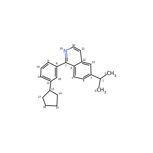 CC(C)c1ccc2c(-c3cccc(C4CCCC4)c3)nccc2c1